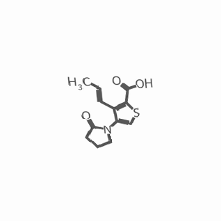 CC=Cc1c(N2CCCC2=O)csc1C(=O)O